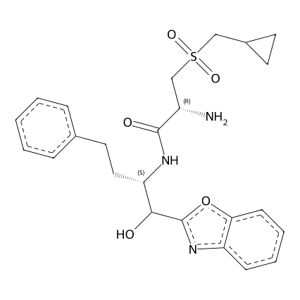 N[C@@H](CS(=O)(=O)CC1CC1)C(=O)N[C@@H](CCc1ccccc1)C(O)c1nc2ccccc2o1